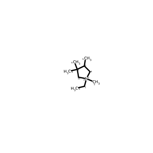 CC[N+]1(C)CC(C)C(C)(C)C1